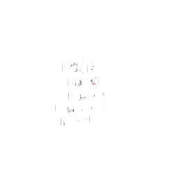 CC(C)O.CC(C)O.CC(C)O.CC(C)O.Cl.[SnH2]